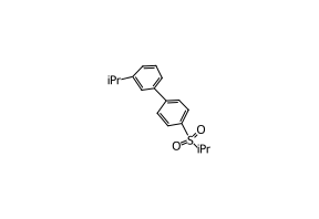 CC(C)c1cccc(-c2ccc(S(=O)(=O)C(C)C)cc2)c1